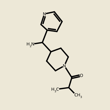 CC(C)C(=O)N1CCC(C(N)c2cccnc2)CC1